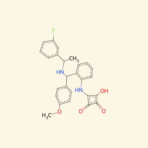 COc1ccc(C(NC(C)c2cccc(F)c2)c2ccccc2Nc2c(O)c(=O)c2=O)cc1